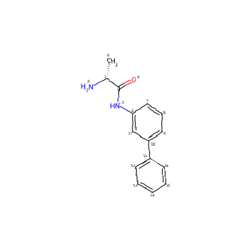 C[C@@H](N)C(=O)Nc1cccc(-c2ccccc2)c1